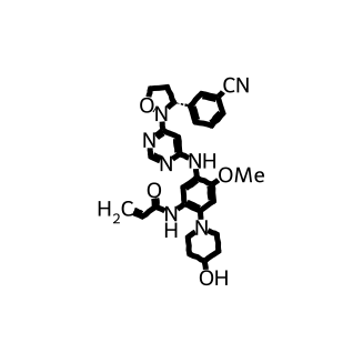 C=CC(=O)Nc1cc(Nc2cc(N3OCC[C@@H]3c3cccc(C#N)c3)ncn2)c(OC)cc1N1CCC(O)CC1